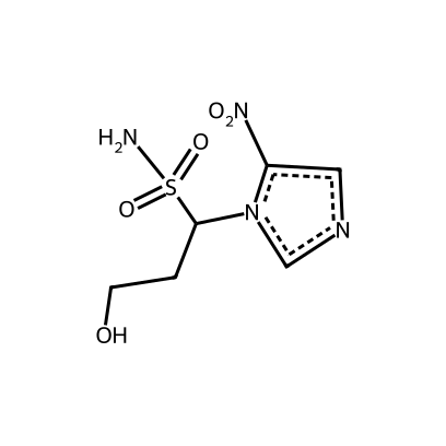 NS(=O)(=O)C(CCO)n1cncc1[N+](=O)[O-]